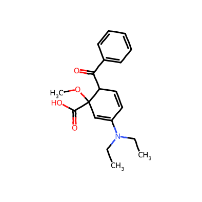 CCN(CC)C1=CC(OC)(C(=O)O)C(C(=O)c2ccccc2)C=C1